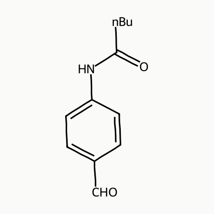 CCCCC(=O)Nc1ccc(C=O)cc1